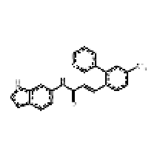 O=C(C=Cc1ccc(C(F)(F)F)cc1-c1cccnc1)Nc1ccc2cc[nH]c2c1